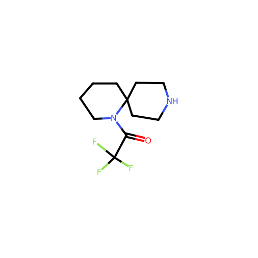 O=C(N1CCCCC12CCNCC2)C(F)(F)F